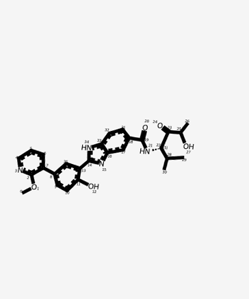 COc1ncccc1-c1ccc(O)c(-c2nc3cc(C(=O)N[C@H](C(=O)C(C)O)C(C)C)ccc3[nH]2)c1